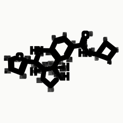 O=C(NC1CCC1)c1ccc2c(c1)[C@H]1NCC[C@H]1C(c1ccco1)N2